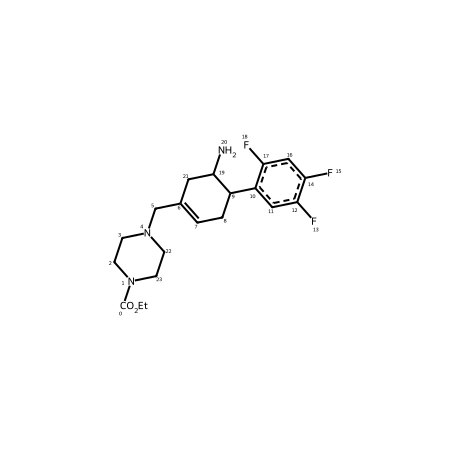 CCOC(=O)N1CCN(CC2=CCC(c3cc(F)c(F)cc3F)C(N)C2)CC1